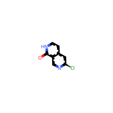 O=c1[nH]ccc2cc(Cl)ncc12